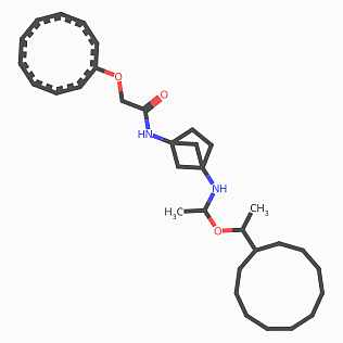 CC(NC12CCC(NC(=O)COc3ccccccccc3)(C1)C2)OC(C)C1CCCCCCCCCC1